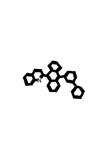 c1ccc(-c2cccc(-c3c4ccccc4c(-c4ccc5ccccc5n4)c4ccccc34)c2)cc1